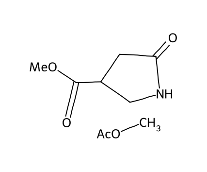 COC(=O)C1CNC(=O)C1.COC(C)=O